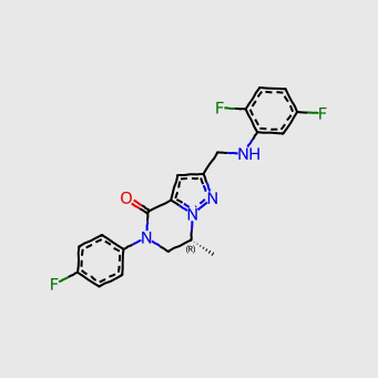 C[C@@H]1CN(c2ccc(F)cc2)C(=O)c2cc(CNc3cc(F)ccc3F)nn21